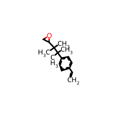 C=Cc1ccc(C(C)(C)C(C)(C)C2CO2)cc1